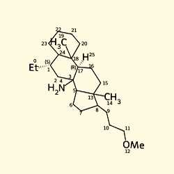 CC[C@H]1CC2(N)C3CCC(CCCOC)C3(C)CC[C@@H]2C2(C)CCCCC12